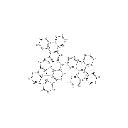 c1ccc(-c2ccc(N(c3ccc4c(c3)c(-c3ccccc3)c(-c3ccccc3)c3ccccc34)c3cccc4c3-c3ccccc3C4(c3ccccc3)c3ccccc3)cc2-c2ccccc2)cc1